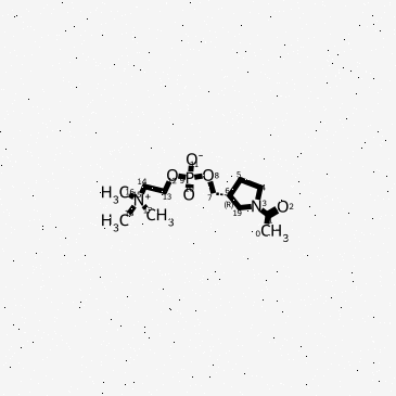 CC(=O)N1CC[C@@H](COP(=O)([O-])OCC[N+](C)(C)C)C1